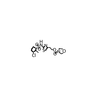 Cc1c(Cl)cccc1S(=O)(=O)Nc1nc(CCOC(=O)N2CCOCC2)cs1